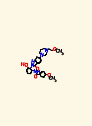 COCCN1CCCN(c2ccc(C(=O)Nc3c(O)cccc3NC(=O)c3ccc(OC)cc3)cc2)CC1